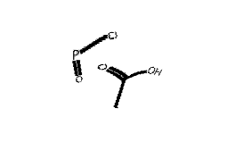 CC(=O)O.O=PCl